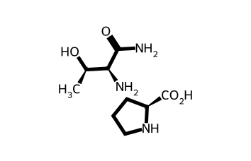 C[C@@H](O)[C@H](N)C(N)=O.O=C(O)[C@@H]1CCCN1